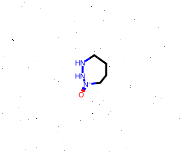 O=[N+]1CCCCNN1